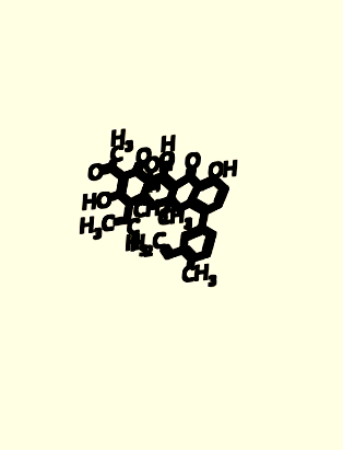 C=Cc1cc(-c2ccc(O)c3c2C[C@]2(C)C[C@]4(C)C(C(C)C)C(O)=C(C(C)=O)C(=O)[C@]4(O)C(O)=C2C3=O)ccc1C